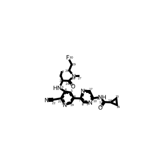 CCC(Nc1cc(-c2cnc(NC(=O)C3CC3)cn2)cnc1C#N)C(=O)N(C)CCF